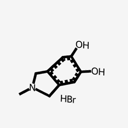 Br.CN1Cc2cc(O)c(O)cc2C1